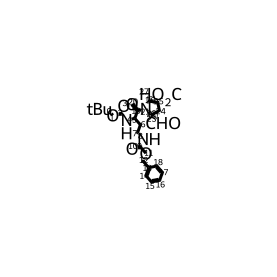 CC(C)(C)OC(=O)NC(CCNC(=O)OCc1ccccc1)C(=O)N1[C@@H](C=O)CC[C@H]1C(=O)O